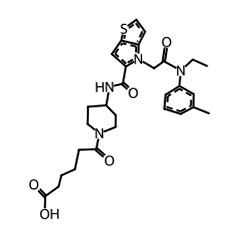 CCN(C(=O)Cn1c(C(=O)NC2CCN(C(=O)CCCCC(=O)O)CC2)cc2sccc21)c1cccc(C)c1